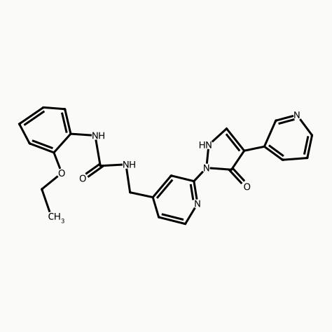 CCOc1ccccc1NC(=O)NCc1ccnc(-n2[nH]cc(-c3cccnc3)c2=O)c1